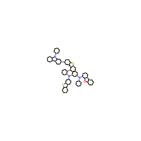 c1ccc(N(c2cccc(N(c3ccc4c(c3)sc3ccccc34)c3ccccc3-c3cccc4sc5ccc(-c6ccc7c8ccccc8n(-c8ccccc8)c7c6)cc5c34)c2)c2cccc3c2oc2ccccc23)cc1